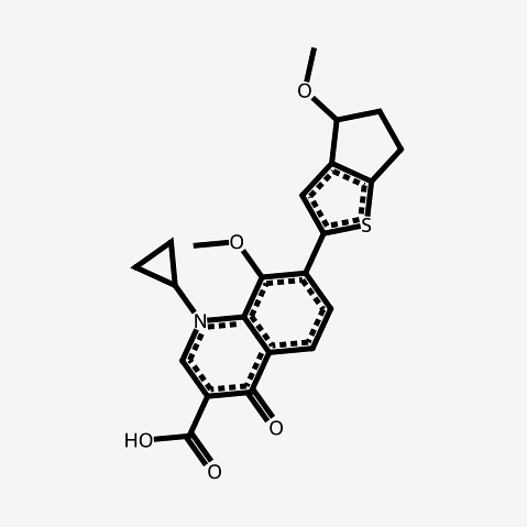 COc1c(-c2cc3c(s2)CCC3OC)ccc2c(=O)c(C(=O)O)cn(C3CC3)c12